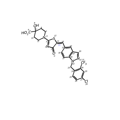 O=C1N=C(N2CCC(O)(C(=O)O)CC2)S/C1=C/c1ccc2c(cnn2Cc2ccc(Cl)cc2C(F)(F)F)c1